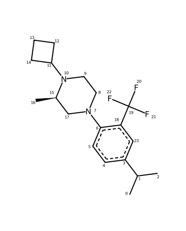 CC(C)c1ccc(N2CCN(C3CCC3)[C@H](C)C2)c(C(F)(F)F)c1